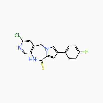 Fc1ccc(-c2cc3n(c2)Cc2cc(Cl)ncc2NC3=S)cc1